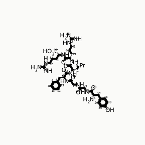 CC(C)C[C@H](NC(=O)[C@H](Cc1ccccc1)NC(=O)CNC(=O)CNC(=O)[C@@H](N)Cc1ccc(O)cc1)C(=O)N[C@@H](CCCNC(=N)N)C(=O)N[C@@H](CCCNC(=N)N)C(=O)O